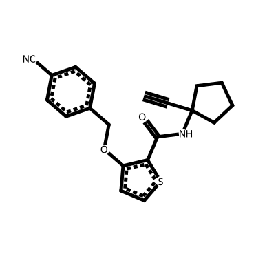 C#CC1(NC(=O)c2sccc2OCc2ccc(C#N)cc2)CCCC1